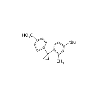 Cc1cc(C(C)(C)C)ccc1C1(c2ccc(C(=O)O)cc2)CC1